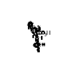 C=CCc1cccc(/C=N/NC(=O)CN2CCN(Cc3ccccc3)CCC2/C(=C\C(=O)O)C(=O)O)c1O